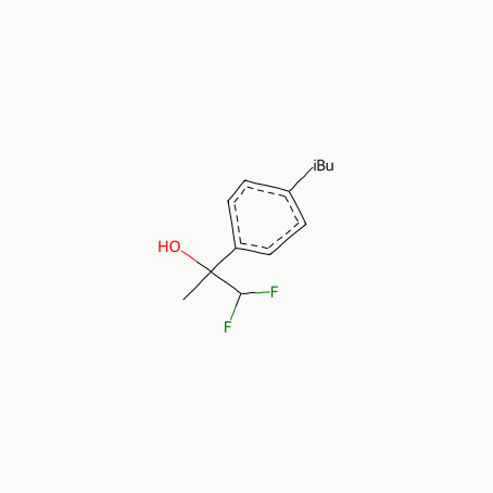 CCC(C)c1ccc(C(C)(O)C(F)F)cc1